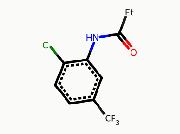 CCC(=O)Nc1cc(C(F)(F)F)ccc1Cl